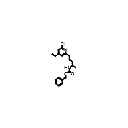 CCc1cc(Cl)nc(CCCC(C)NC(=O)OCc2ccccc2)c1